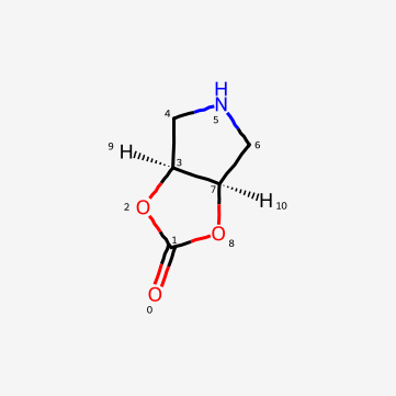 O=C1O[C@H]2CNC[C@H]2O1